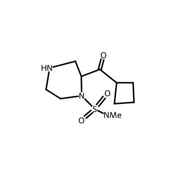 CNS(=O)(=O)N1CCNCC1C(=O)C1CCC1